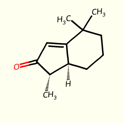 C[C@@H]1C(=O)C=C2[C@H]1CCCC2(C)C